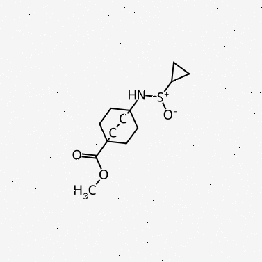 COC(=O)C12CCC(N[S+]([O-])C3CC3)(CC1)CC2